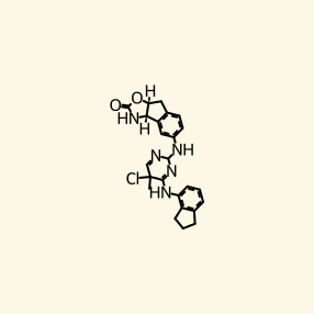 CC1(Cl)C=NC(Nc2ccc3c(c2)[C@@H]2NC(=O)O[C@@H]2C3)N=C1Nc1cccc2c1CCC2